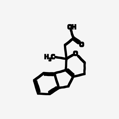 CC1(CC(=O)O)OCCC2=C1c1ccccc1C2